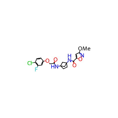 COc1cc(C(=O)NC23CCC(NC(=O)COc4ccc(Cl)c(F)c4)(C2)C3)on1